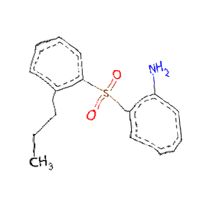 CCCc1ccccc1S(=O)(=O)c1ccccc1N